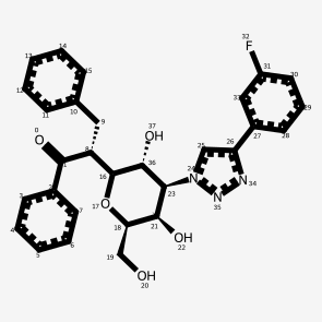 O=C(c1ccccc1)[C@H](Cc1ccccc1)C1O[C@H](CO)[C@H](O)[C@H](n2cc(-c3cccc(F)c3)nn2)[C@H]1O